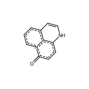 O=c1ccc2c3c(cccn13)C=CN2